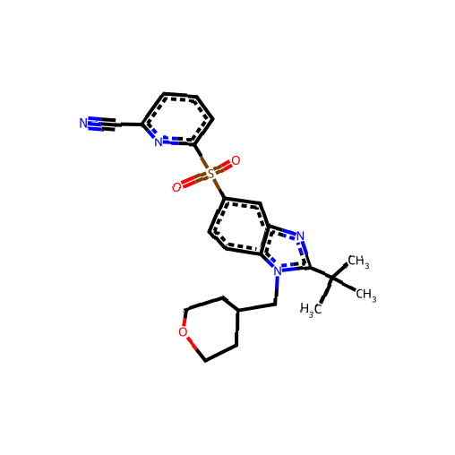 CC(C)(C)c1nc2cc(S(=O)(=O)c3cccc(C#N)n3)ccc2n1CC1CCOCC1